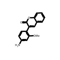 COc1cc(N)ccc1-c1cc2ccccc2oc1=O